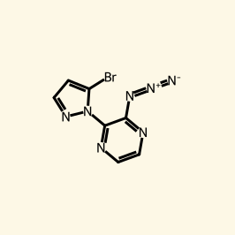 [N-]=[N+]=Nc1nccnc1-n1nccc1Br